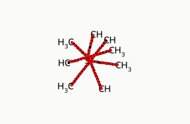 C#CC#CC#CC#CC#CC#CC#CC#CC#Cc1c(C#CC#CC#CC#CC#CC#CC#CC#CC)c(C#CC#CC#CC#CC#CC#CC#CC#C)c2c(sc3c(C#CC#CC#CC#CC#CC#C)c(C#CC#CC#CC#CC#CC#CC)c(C#CC#CC#CC#CC#CC#CC#C)c(C#CC#CC#CC#CC#CC#CC#CC)c32)c1C#CC#CC#CC#CC#CC#CC#CC#CC#CC